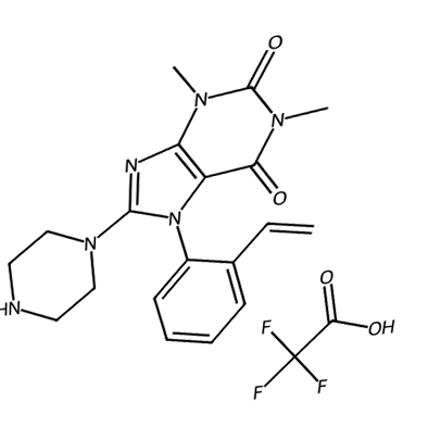 C=Cc1ccccc1-n1c(N2CCNCC2)nc2c1c(=O)n(C)c(=O)n2C.O=C(O)C(F)(F)F